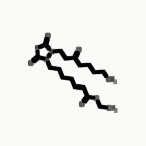 CCCCCC(=O)CCn1c(=O)sc(=O)n1CCCCC=CC(=O)OCC